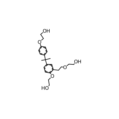 CC(C)(c1ccc(OCCO)cc1)c1ccc(OCCO)c(CCOCCO)c1